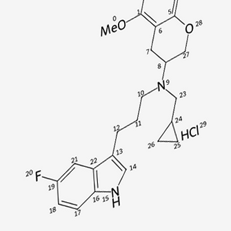 COc1cccc2c1CC(N(CCCc1c[nH]c3ccc(F)cc13)CC1CC1)CO2.Cl